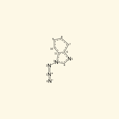 [N-]=[N+]=Nn1cnc2ccccc21